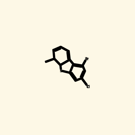 CC1C=CC=C2c3c(Br)cc(Cl)cc3SC21